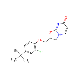 CCC(C)(C)c1ccc(OCC2Cn3ccc(=O)nc3O2)c(Cl)c1